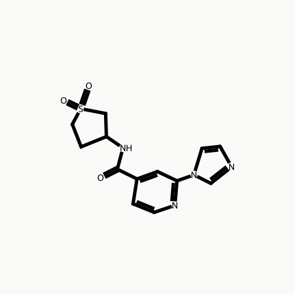 O=C(NC1CCS(=O)(=O)C1)c1ccnc(-n2ccnc2)c1